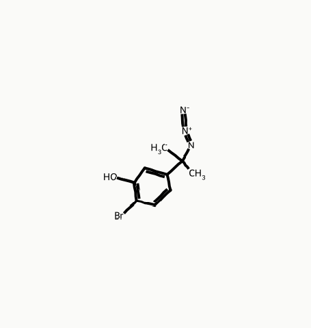 CC(C)(N=[N+]=[N-])c1ccc(Br)c(O)c1